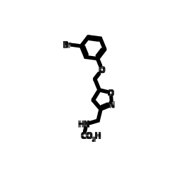 O=C(O)NCC1=NOC(COc2cccc(Br)c2)C1